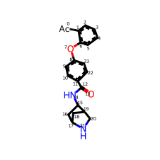 CC(=O)c1ccccc1Oc1ccc(C(=O)NC2CC3CC2CN3)cc1